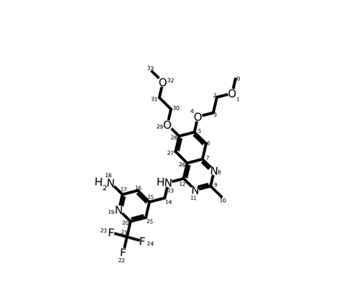 COCCOc1cc2nc(C)nc(NCc3cc(N)nc(C(F)(F)F)c3)c2cc1OCCOC